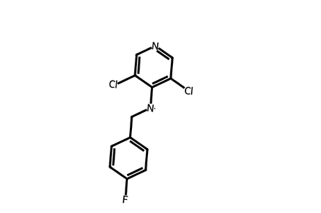 Fc1ccc(C[N]c2c(Cl)cncc2Cl)cc1